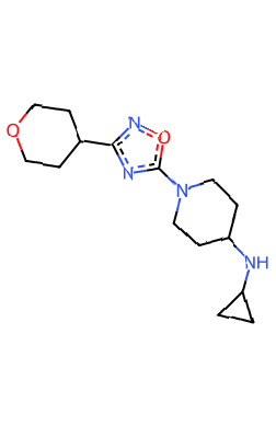 C1CC(c2noc(N3CCC(NC4CC4)CC3)n2)CCO1